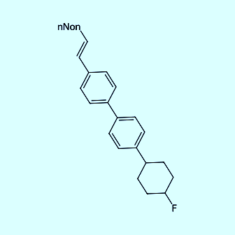 CCCCCCCCCC=Cc1ccc(-c2ccc(C3CCC(F)CC3)cc2)cc1